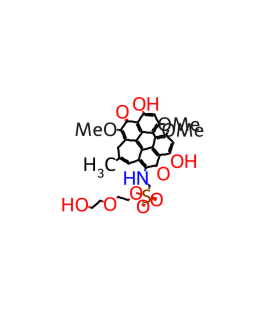 COc1c2c3c4c(c(NCS(=O)(=O)OCCOCCO)c(=O)c5c(O)cc(OC)c(c6c(OC)cc(O)c(c1=O)c63)c54)C=C(C)C2